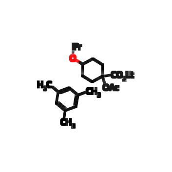 CCOC(=O)C1(OC(C)=O)CCC(OC(C)C)CC1.Cc1cc(C)cc(C)c1